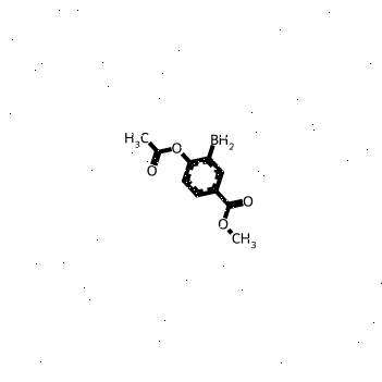 Bc1cc(C(=O)OC)ccc1OC(C)=O